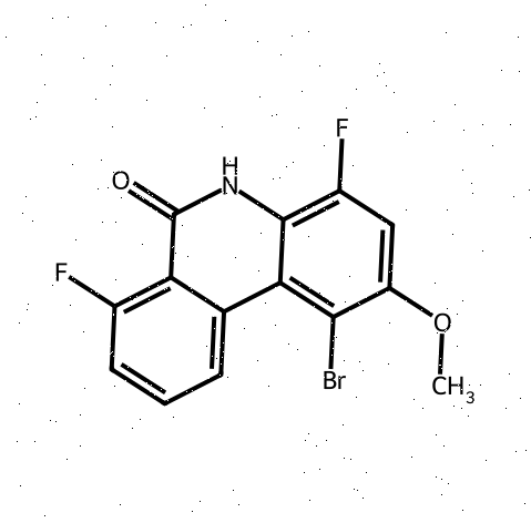 COc1cc(F)c2[nH]c(=O)c3c(F)cccc3c2c1Br